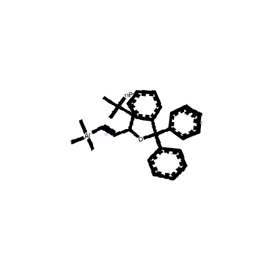 CCCC(C)(C)CC(/C=[CH]/[Al-]([CH3])([CH3])[CH3])OC(c1ccccc1)(c1ccccc1)c1ccccc1